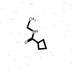 [CH2]CNC(=O)C1CCC1